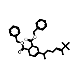 C/C(=C\CCC(C)C1=CCC(C(=O)OCc2ccccc2)C(C(=O)OCc2ccccc2)C1)C(C)(C)C